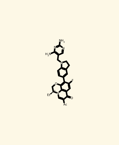 CC[C@H]1COc2c(-c3ccc4c(c3)CCN4Cc3cnc(N)nc3N)c(F)cc3c(=O)c(C(C)=O)cn1c23